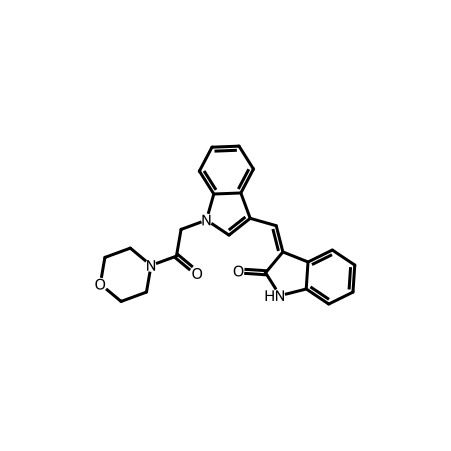 O=C1Nc2ccccc2C1=Cc1cn(CC(=O)N2CCOCC2)c2ccccc12